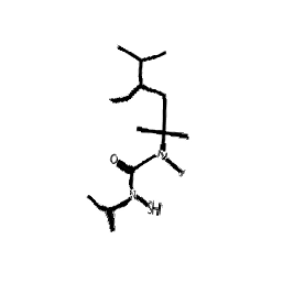 CC(C)C(C)CC(C)(C)N(I)C(=O)N(S)C(C)C